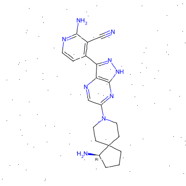 N#Cc1c(-c2n[nH]c3nc(N4CCC5(CCC[C@H]5N)CC4)cnc23)ccnc1N